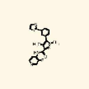 Cc1c(C(=O)Nc2ccncc2F)nn(C)c1-c1cccc(-c2nccs2)c1